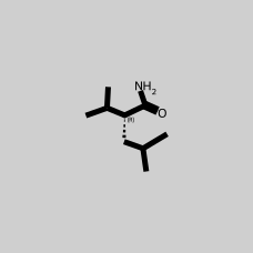 CC(C)C[C@@H](C(N)=O)C(C)C